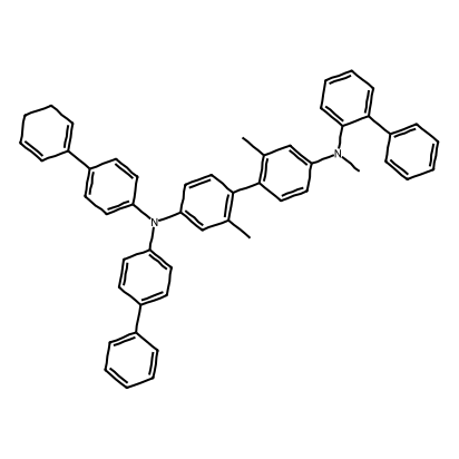 Cc1cc(N(C)c2ccccc2-c2ccccc2)ccc1-c1ccc(N(c2ccc(C3=CCCC=C3)cc2)c2ccc(-c3ccccc3)cc2)cc1C